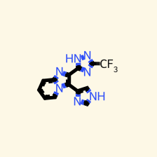 FC(F)(F)c1n[nH]c(-c2nc3ccccn3c2-c2c[nH]cn2)n1